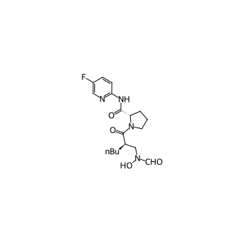 CCCC[C@H](CN(O)C=O)C(=O)N1CCC[C@H]1C(=O)Nc1ccc(F)cn1